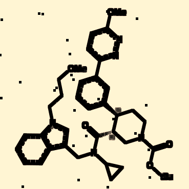 COCCCn1cc(CN(C(=O)[C@H]2CN(C(=O)OC(C)(C)C)CC[C@@H]2c2cccc(-c3ccc(OC)nn3)c2)C2CC2)c2ccccc21